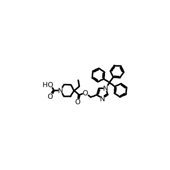 CCC1(C(=O)OCc2cn(C(c3ccccc3)(c3ccccc3)c3ccccc3)cn2)CCN(C(=O)O)CC1